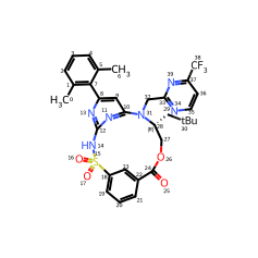 Cc1cccc(C)c1-c1cc2nc(n1)NS(=O)(=O)c1cccc(c1)C(=O)OC[C@@H](CC(C)(C)C)N2Cc1nccc(C(F)(F)F)n1